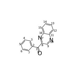 O=C(c1ccccc1)c1cnc2ccccc2n1